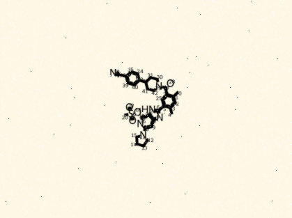 Cc1cc(C)c(-c2nc3cc(N4CCCC4)nc(OS(C)(=O)=O)c3[nH]2)cc1C(=O)N1CCC(c2ccc(C#N)cc2)CC1